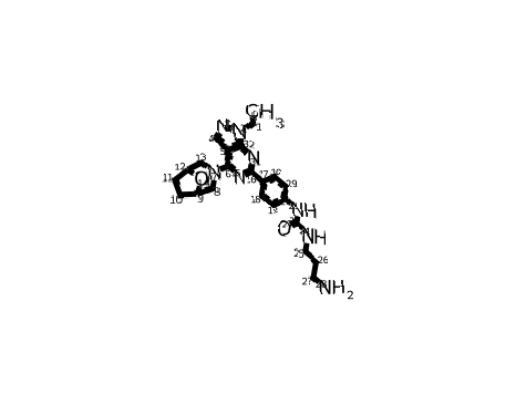 CCn1ncc2c(N3CC4CCC(C3)O4)nc(-c3ccc(NC(=O)NCCCN)cc3)nc21